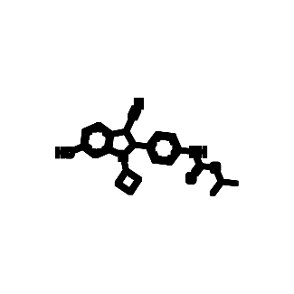 CC(C)OC(=O)Nc1ccc(C2C(C#N)c3ccc(O)cc3N2C2CCC2)cc1